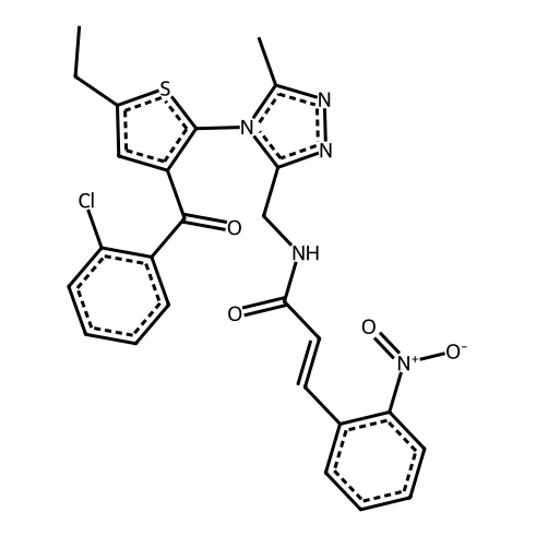 CCc1cc(C(=O)c2ccccc2Cl)c(-n2c(C)nnc2CNC(=O)C=Cc2ccccc2[N+](=O)[O-])s1